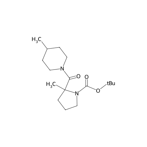 CC1CCN(C(=O)C2(C)CCCN2C(=O)OC(C)(C)C)CC1